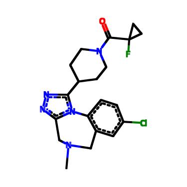 CN1Cc2cc(Cl)ccc2-n2c(nnc2C2CCN(C(=O)C3(F)CC3)CC2)C1